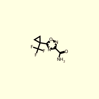 NC(=O)c1noc(C2(C(F)(F)F)CC2)n1